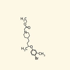 CCOC(=O)CN1CCC(CCC(C)Oc2ccc(Br)c(C)c2)CC1